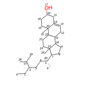 CCC(CC[C@@H](C)C1CCC2C3CC=C4CC(O)CCC4(C)C3CCC21C)C(C)C